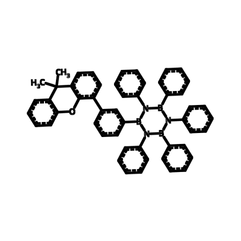 CC1(C)c2ccccc2Oc2c(-c3cccc(B4N(c5ccccc5)B(c5ccccc5)N(c5ccccc5)B(c5ccccc5)N4c4ccccc4)c3)cccc21